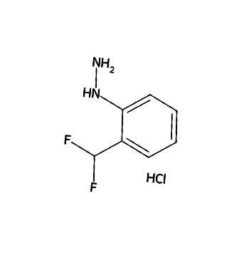 Cl.NNc1ccccc1C(F)F